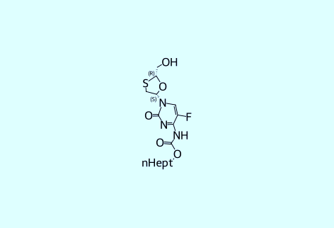 CCCCCCCOC(=O)Nc1nc(=O)n([C@@H]2CS[C@H](CO)O2)cc1F